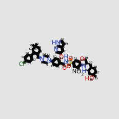 CC1(C)CCC(CN2CCN(c3ccc(C(=O)NS(=O)(=O)c4cc5c(c([N+](=O)[O-])c4)N[C@H](CC4CCC(C)(O)CC4)CO5)c(Oc4cnc5[nH]ccc5c4)c3)CC2)=C(c2ccc(Cl)cc2)C1